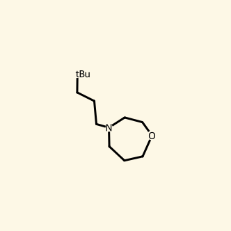 CC(C)(C)CCCN1CCCOCC1